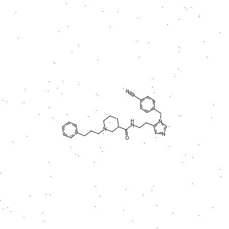 N#Cc1ccc(Cn2cncc2CCNC(=O)C2CCCN(CCCc3ccccc3)C2)cc1